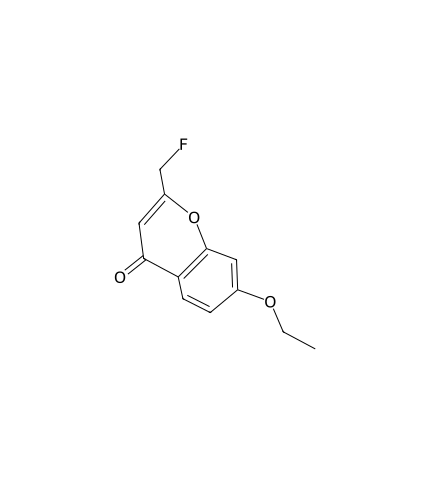 CCOc1ccc2c(=O)cc(CF)oc2c1